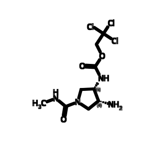 CNC(=O)N1C[C@@H](N)[C@@H](NC(=O)OCC(Cl)(Cl)Cl)C1